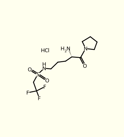 Cl.N[C@@H](CCCNS(=O)(=O)CC(F)(F)F)C(=O)N1CCCC1